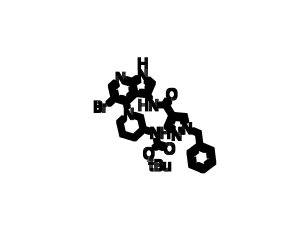 CC(C)(C)OC(=O)NC1CCCN(c2c(Br)cnc3[nH]cc(NC(=O)c4cnn(Cc5ccccc5)c4)c23)C1